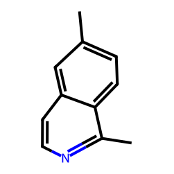 Cc1ccc2c(C)nccc2c1